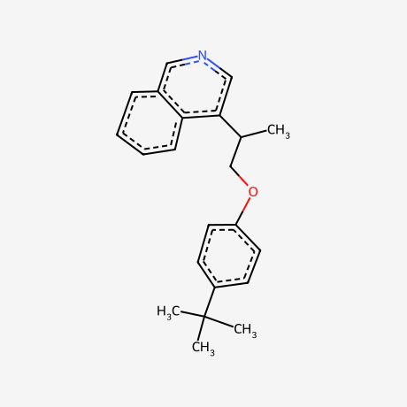 CC(COc1ccc(C(C)(C)C)cc1)c1cncc2ccccc12